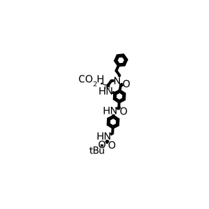 CC(C)(C)OC(=O)NCc1ccc(NC(=O)c2ccc3c(c2)N[C@H](CC(=O)O)CN(CCc2ccccc2)C3=O)cc1